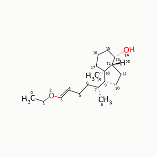 CCOC=CCC[C@@H](C)[C@H]1CC[C@H]2[C@@H](O)CCC[C@]12C